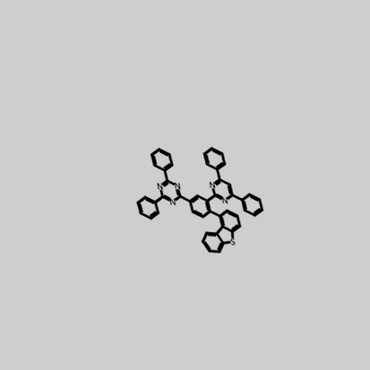 c1ccc(-c2cc(-c3ccccc3)nc(-c3cc(-c4nc(-c5ccccc5)nc(-c5ccccc5)n4)ccc3-c3cccc4sc5ccccc5c34)n2)cc1